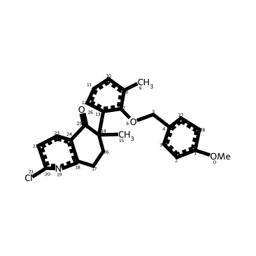 COc1ccc(COc2c(C)cccc2C2(C)CCc3nc(Cl)ccc3C2=O)cc1